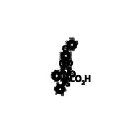 O=C(O)c1sc(-c2ccccc2)cc1N1C(=O)CN(S(=O)(=O)c2ccc(Oc3ccccc3)cc2)CC1C1CCCCC1